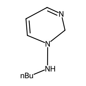 CCCCNN1C=CC=NC1